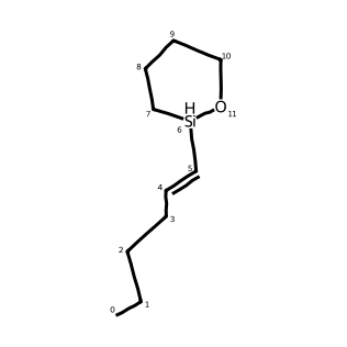 CCCC/C=C/[SiH]1CCCCO1